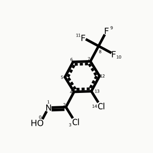 ON=C(Cl)c1ccc(C(F)(F)F)cc1Cl